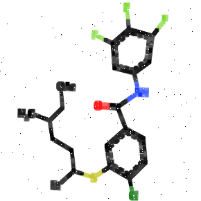 CCC(CCC(C)COC(C)=O)Sc1cc(C(=O)Nc2cc(F)c(F)c(F)c2)ccc1Cl